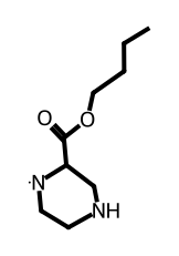 CCCCOC(=O)C1CNCC[N]1